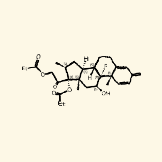 C=C1C=C[C@@]2(C)C(=C1)CC[C@H]1[C@@H]3C[C@H](C)[C@](OC(=O)CC)(C(=O)COC(=O)CC)[C@@]3(C)C[C@H](O)[C@@]12F